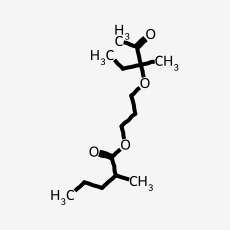 CCCC(C)C(=O)OCCCOC(C)(CC)C(C)=O